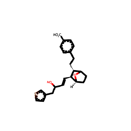 O=C(O)c1ccc(CC[C@@H]2C3CC[C@H](O3)[C@H]2/C=C/C(O)Cc2ccsc2)cc1